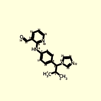 CC(C)C(c1ccc(Nc2ncccc2C=O)cc1)n1ccnc1